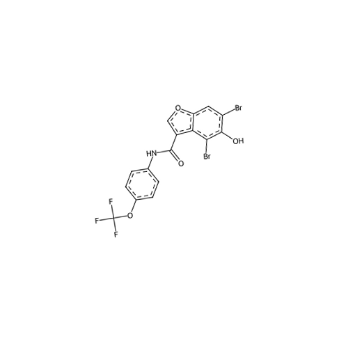 O=C(Nc1ccc(OC(F)(F)F)cc1)c1coc2cc(Br)c(O)c(Br)c12